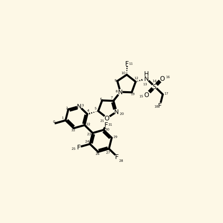 Cc1cnc([C@@H]2CC(N3C[C@H](F)[C@H](NS(=O)(=O)CF)C3)=NO2)c(-c2c(F)cc(F)cc2F)c1